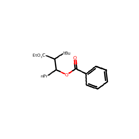 CCCC(OC(=O)c1ccccc1)C(C(=O)OCC)C(C)(C)C